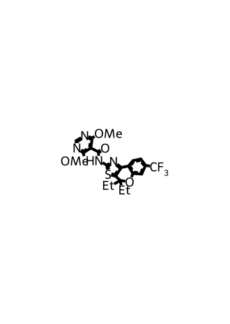 CCC1(CC)Oc2cc(C(F)(F)F)ccc2-c2nc(NC(=O)c3c(OC)ncnc3OC)sc21